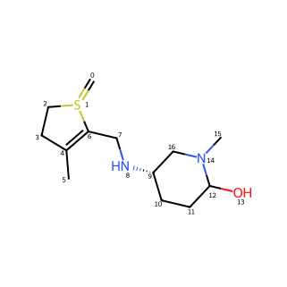 C=S1CCC(C)=C1CN[C@H]1CCC(O)N(C)C1